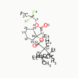 CCC(C(=O)OCC(F)(F)C(F)(F)F)C1(OC(=O)C(C)(CC(C)(C)CC)C(C)(C)CC)CCCCC1